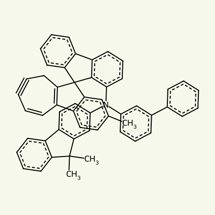 Cc1ccc2c(c1)C1(C3=C2C=CC#CC3)c2ccccc2-c2cccc(N(c3cccc(-c4ccccc4)c3)c3ccc4c(c3)C(C)(C)c3ccccc3-4)c21